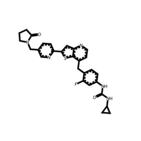 O=C(Nc1ccc(Cc2ccnc3cc(-c4ccc(CN5CCCC5=O)cn4)sc23)c(F)c1)NC1CC1